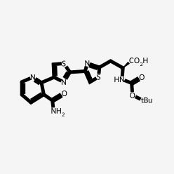 CC(C)(C)OC(=O)N[C@@H](Cc1nc(-c2nc(-c3ncccc3C(N)=O)cs2)cs1)C(=O)O